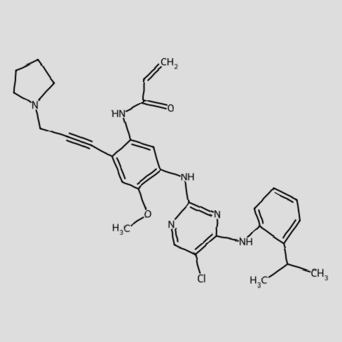 C=CC(=O)Nc1cc(Nc2ncc(Cl)c(Nc3ccccc3C(C)C)n2)c(OC)cc1C#CCN1CCCC1